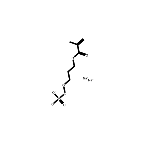 C=C(C)C(=O)OCCCOOP(=O)([O-])[O-].[Na+].[Na+]